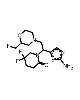 Nc1ncc(C(CN2CCO[C@H](CF)C2)N2CC(F)(F)CCC2=O)s1